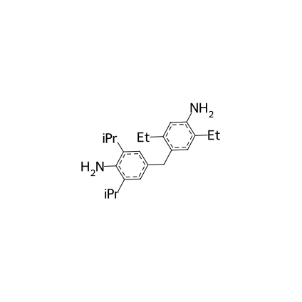 CCc1cc(Cc2cc(C(C)C)c(N)c(C(C)C)c2)c(CC)cc1N